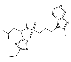 CCc1noc(C(CC(C)C)N(C)S(=O)(=O)CCCn2c(C)nc3cnccc32)n1